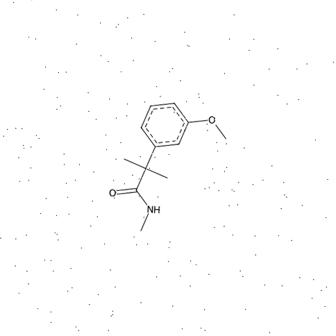 CNC(=O)C(C)(C)c1cccc(OC)c1